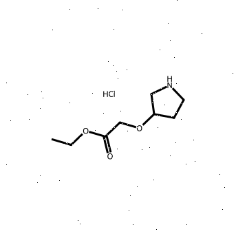 CCOC(=O)COC1CCNC1.Cl